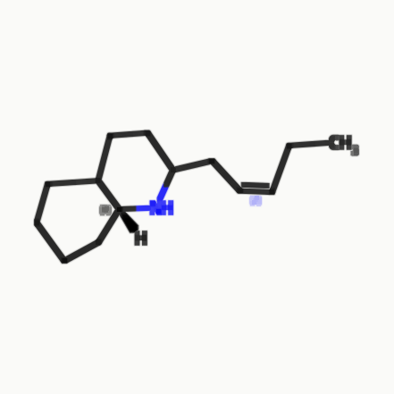 CC/C=C\CC1CCC2CCCC[C@H]2N1